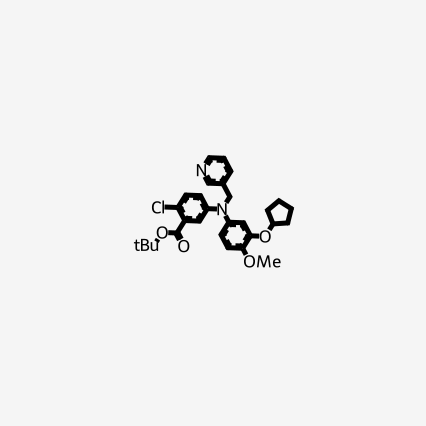 COc1ccc(N(Cc2cccnc2)c2ccc(Cl)c(C(=O)OC(C)(C)C)c2)cc1OC1CCCC1